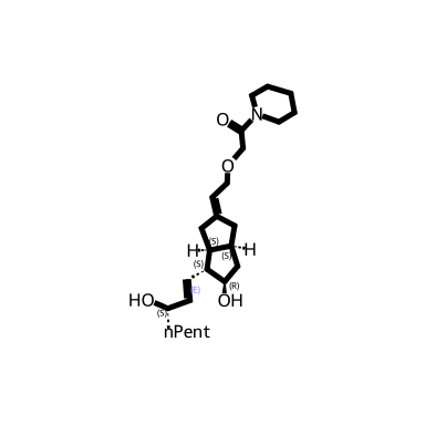 CCCCC[C@H](O)/C=C/[C@@H]1[C@H]2CC(=CCOCC(=O)N3CCCCC3)C[C@H]2C[C@H]1O